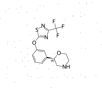 FC(F)(F)c1nsc(Oc2cccc([C@@H]3CNCCO3)c2)n1